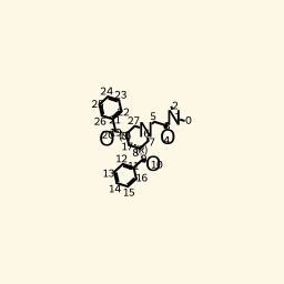 CN(C)C(=O)CN1C[C@H](C(=O)c2ccccc2)[CH][C@H](C(=O)c2ccccc2)C1